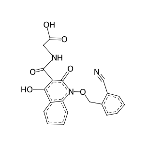 N#Cc1ccccc1COn1c(=O)c(C(=O)NCC(=O)O)c(O)c2ccccc21